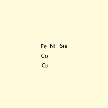 [Co].[Cu].[Fe].[Ni].[Sn]